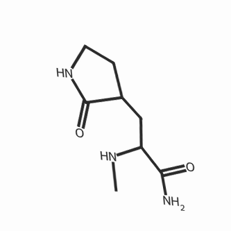 CNC(CC1CCNC1=O)C(N)=O